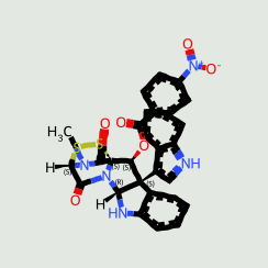 CN1C(=O)[C@]23SS[C@H]1C(=O)N2[C@H]1Nc2ccccc2[C@@]1(c1c[nH]c2ccccc12)[C@@H]3OC(=O)c1ccc([N+](=O)[O-])cc1